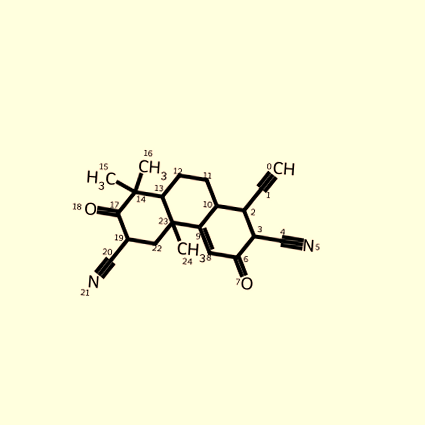 C#CC1C(C#N)C(=O)C=C2C1CCC1C(C)(C)C(=O)C(C#N)CC21C